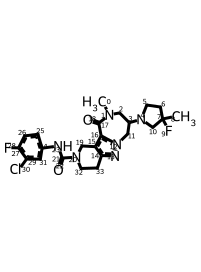 CN1CC(N2CCC(C)(F)C2)Cn2nc3c(c2C1=O)CN(C(=O)Nc1ccc(F)c(Cl)c1)CC3